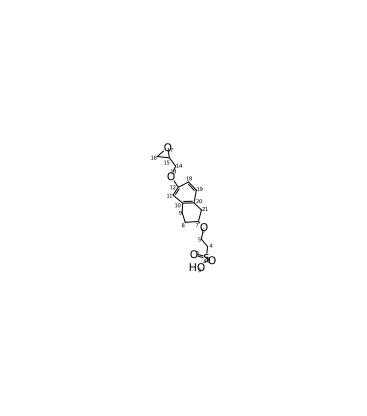 O=S(=O)(O)CCOC1CCc2cc(OCC3CO3)ccc2C1